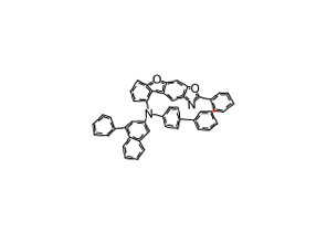 c1ccc(-c2ccc(N(c3cc(-c4ccccc4)c4ccccc4c3)c3cccc4oc5cc6oc(-c7ccccc7)nc6cc5c34)cc2)cc1